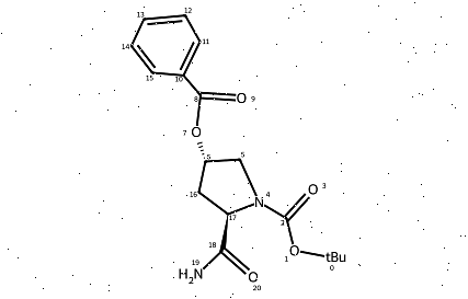 CC(C)(C)OC(=O)N1C[C@@H](OC(=O)c2ccccc2)C[C@@H]1C(N)=O